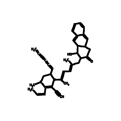 C#CC1=C(/C=C\C)N(C)CC(C=C=C=C=C)N1/C(C)=C/C=C(\C)CC1C(=O)CC2C=c3ccccc3=CC2C1O